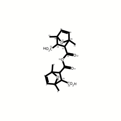 CC12C=CC(C)(O1)C(C(=O)OC(=O)C1C(C(=O)O)C3(C)C=CC1(C)O3)C2C(=O)O